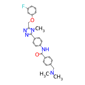 CN(C)Cc1ccc(C(=O)Nc2ccc(-c3nnc(COc4cccc(F)c4)n3C)cc2)cc1